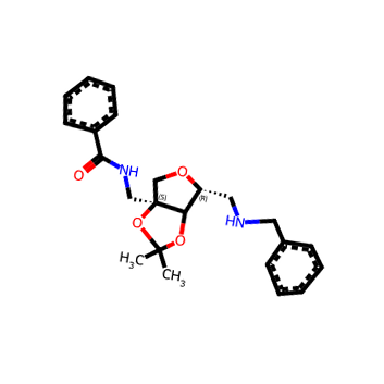 CC1(C)OC2[C@@H](CNCc3ccccc3)OC[C@]2(CNC(=O)c2ccccc2)O1